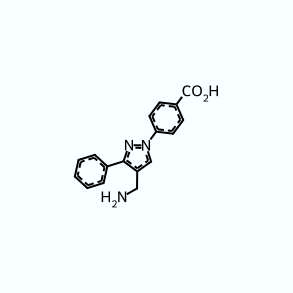 NCc1cn(-c2ccc(C(=O)O)cc2)nc1-c1ccccc1